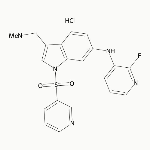 CNCc1cn(S(=O)(=O)c2cccnc2)c2cc(Nc3cccnc3F)ccc12.Cl